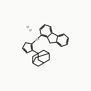 C1=CC(C23CC4CC(CC(C4)C2)C3)=[C]([Zr+2][c]2cccc3c2Cc2ccccc2-3)C1.[Cl-].[Cl-]